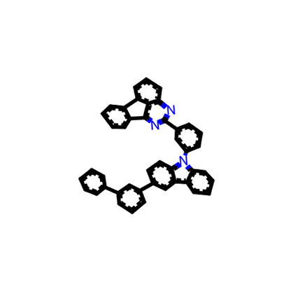 c1ccc(-c2cccc(-c3ccc4c(c3)c3ccccc3n4-c3cccc(-c4nc5c6c(cccc6n4)-c4ccccc4-5)c3)c2)cc1